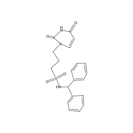 O=c1ccn(CCCS(=O)(=O)NC(c2ccccc2)c2ccccc2)c(=O)[nH]1